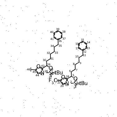 CC(C)(C)[Si](C)(C)OC(CCCCCCc1ccccc1)c1ncc(C(F)(F)F)o1.CC(C)(C)[Si](C)(C)OC(CCCCCCc1ccccc1)c1ncc(I)o1